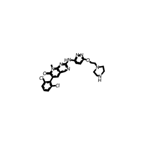 Cn1c(=O)c(-c2c(Cl)cccc2Cl)cc2cnc(Nc3ccc(OCCN4CCNCC4)nn3)nc21